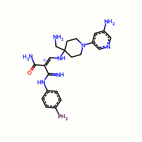 N=C(Nc1ccc(P)cc1)/C(=C\NC1(CN)CCN(c2cncc(N)c2)CC1)C(N)=O